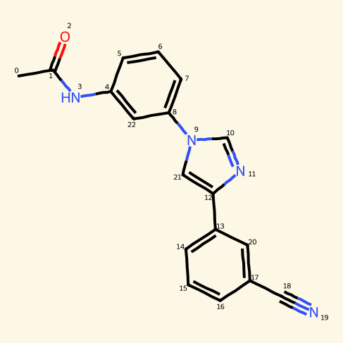 CC(=O)Nc1cccc(-n2cnc(-c3cccc(C#N)c3)c2)c1